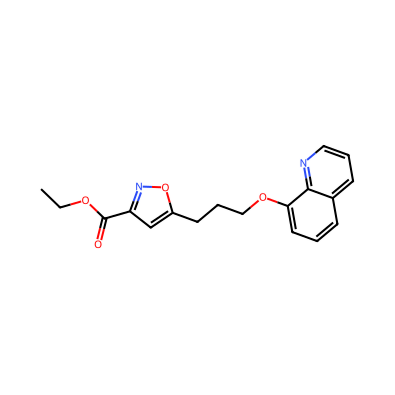 CCOC(=O)c1cc(CCCOc2cccc3cccnc23)on1